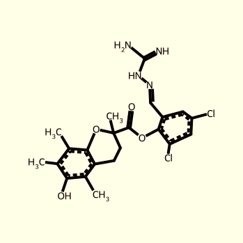 Cc1c(C)c2c(c(C)c1O)CCC(C)(C(=O)Oc1c(Cl)cc(Cl)cc1C=NNC(=N)N)O2